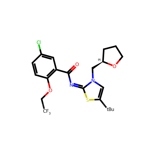 CC(C)(C)c1cn(C[C@H]2CCCO2)c(=NC(=O)c2cc(Cl)ccc2OCC(F)(F)F)s1